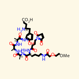 COCCOCC(=O)NCCCC[C@H](NC(=O)CCCN1C(=O)C=CC1=O)C(=O)N[C@@H](C)C(=O)N[C@@H](C)C(=O)N[C@@H](C)C(=O)Nc1cc(C[C@H](N)CCC(=O)O)ccc1O